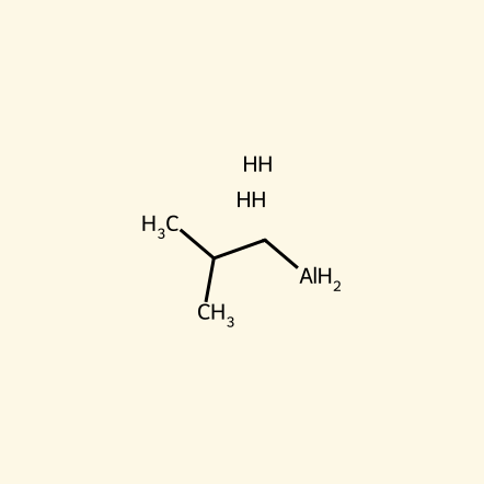 CC(C)[CH2][AlH2].[HH].[HH]